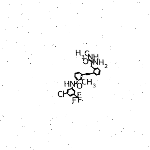 CNC(=O)[C@H](N)Cc1ccccc1C#Cc1cccc(C(=O)Nc2cc(Cl)cc(C(F)(F)F)c2)c1C